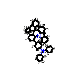 c1ccc(N(c2ccccc2)c2ccc(-c3cccc4c3-n3c5ccccc5c5cccc(c53)C43c4ccccc4-c4ccccc43)cc2)cc1